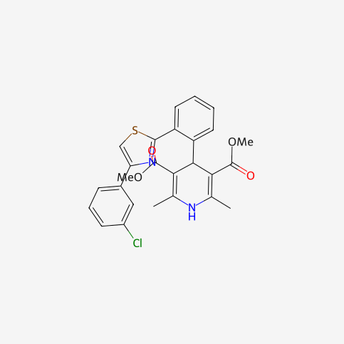 COC(=O)C1=C(C)NC(C)=C(C(=O)OC)C1c1ccccc1-c1nc(-c2cccc(Cl)c2)cs1